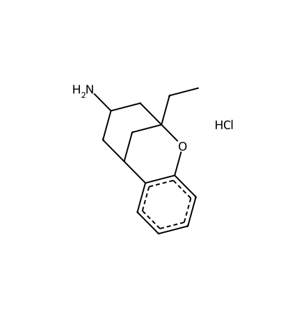 CCC12CC(N)CC(C1)c1ccccc1O2.Cl